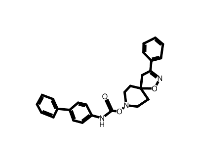 O=C(Nc1ccc(-c2ccccc2)cc1)ON1CCC2(CC1)CC(c1ccccc1)=NO2